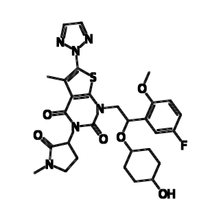 COc1ccc(F)cc1C(Cn1c(=O)n(C2CCN(C)C2=O)c(=O)c2c(C)c(-n3nccn3)sc21)OC1CCC(O)CC1